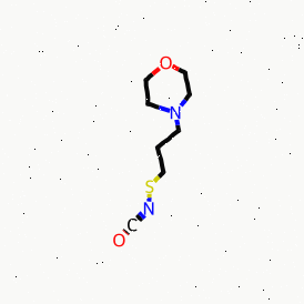 O=C=NSCCCN1CCOCC1